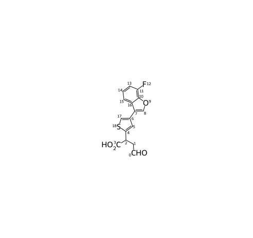 O=CCC(C(=O)O)c1cc(-c2coc3c(F)cccc23)cs1